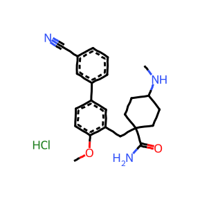 CNC1CCC(Cc2cc(-c3cccc(C#N)c3)ccc2OC)(C(N)=O)CC1.Cl